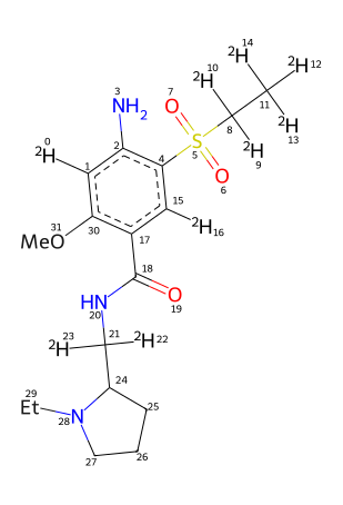 [2H]c1c(N)c(S(=O)(=O)C([2H])([2H])C([2H])([2H])[2H])c([2H])c(C(=O)NC([2H])([2H])C2CCCN2CC)c1OC